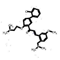 COc1ccc(CN(C)C)c(/C=C/C(=O)c2cc(-c3ccccc3Cl)ccc2OCCN(C)C)c1